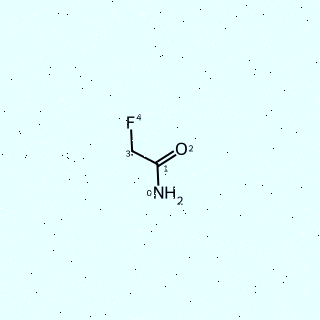 NC(=O)[CH]F